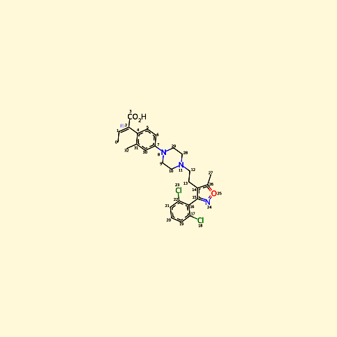 C/C=C(/C(=O)O)c1ccc(N2CCN(CCc3c(-c4c(Cl)cccc4Cl)noc3C)CC2)cc1C